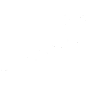 CCCCCCCCCCCCCCCCNCC(CC)CC(C)CN